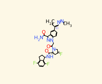 C=C/C(=C\N=N/C)c1ccc2c(c1)c(C(N)=O)nn2CC(=O)N1C[C@H](F)C[C@H]1C(=O)NC1CCc2c(F)ccc(F)c21